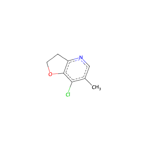 Cc1cnc2c(c1Cl)OCC2